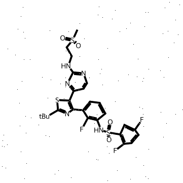 CC(C)(C)c1nc(-c2cccc(NS(=O)(=O)c3cc(F)ccc3F)c2F)c(-c2ccnc(NCCS(C)(=O)=O)n2)s1